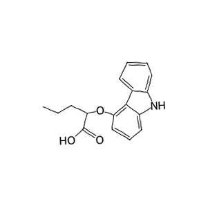 CCCC(Oc1cccc2[nH]c3ccccc3c12)C(=O)O